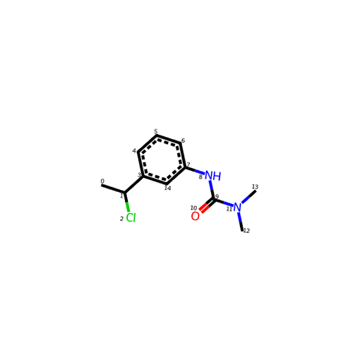 CC(Cl)c1cccc(NC(=O)N(C)C)c1